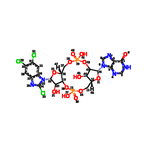 O=c1[nH]cnc2c1ncn2[C@@H]1O[C@@H]2COP(=O)(O)OC3C(O)[C@H](n4c(Cl)nc5cc(Cl)c(Cl)cc54)O[C@@H]3COP(=O)(O)OC1C2O